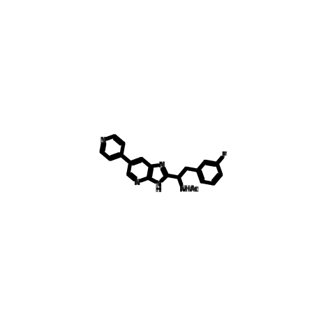 CC(=O)NC(Cc1cccc(F)c1)c1nc2cc(-c3ccncc3)cnc2[nH]1